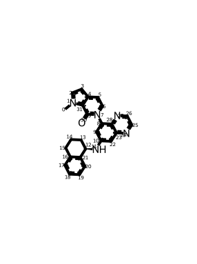 Cn1ccc2ccn(-c3cc(N[C@@H]4CCCc5ccccc54)cc4nccnc34)c(=O)c21